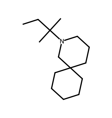 CCC(C)(C)N1CCCC2(CCCCC2)C1